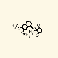 COc1cc2c(cc1OC)C(=CCC1(C)C(=O)CCC1=O)CCC2